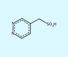 O=S(=O)(O)Cc1ccnnc1